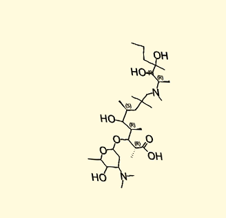 CCCC(C)(O)[C@H](O)[C@@H](C)N(C)CC(C)(C)C[C@H](C)C(O)[C@@H](C)C(OC1CC(N(C)C)C(O)C(C)O1)[C@@H](C)C(=O)O